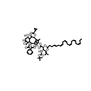 CC/C=C\C/C=C\C/C=C\C/C=C\C/C=C\C/C=C/CCC(=O)O[C@@H](C(=O)O[C@H]1C[C@@]2(O)[C@@H](OC(=O)c3ccccc3)C3[C@](C)(C(=O)[C@H](OC(=O)C4CC4)C(=C1C)C2(C)C)[C@@H](O)C[C@H]1OC[C@@]31OC(C)=O)[C@H](C=C(C)C)NC(=O)OC(C)(C)C